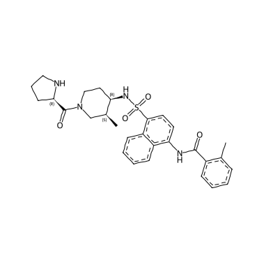 Cc1ccccc1C(=O)Nc1ccc(S(=O)(=O)N[C@@H]2CCN(C(=O)[C@H]3CCCN3)C[C@@H]2C)c2ccccc12